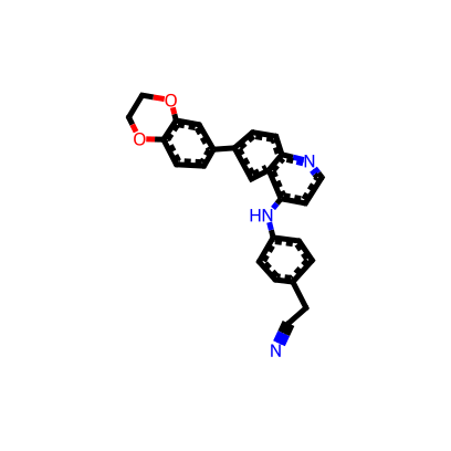 N#CCc1ccc(Nc2ccnc3ccc(-c4ccc5c(c4)OCCO5)cc23)cc1